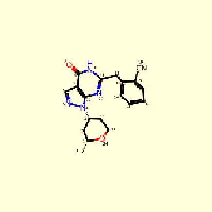 C[C@@H]1C[C@H](n2ncc3c(=O)[nH]c(Cc4ccccc4C#N)nc32)CCO1